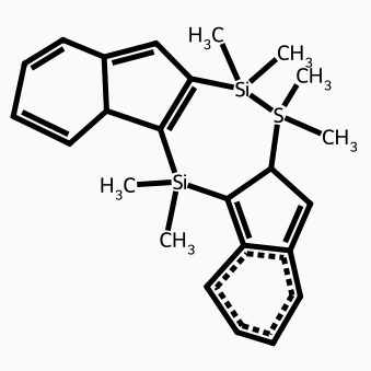 C[Si]1(C)C2=C(C=C3C=CC=CC32)[Si](C)(C)S(C)(C)C2C=c3ccccc3=C21